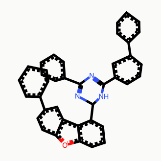 c1ccc(C2=NC(c3cccc4oc5ccc(-c6ccccc6)cc5c34)NC(c3cccc(-c4ccccc4)c3)=N2)cc1